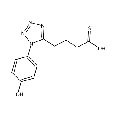 OC(=S)CCCc1nnnn1-c1ccc(O)cc1